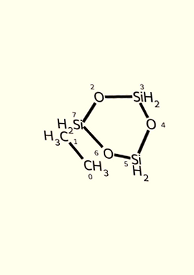 CC.O1[SiH2]O[SiH2]O[SiH2]1